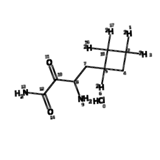 Cl.[2H]C1([2H])CC([2H])(CC(N)C(=O)C(N)=O)C1([2H])[2H]